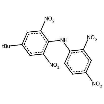 CC(C)(C)c1cc([N+](=O)[O-])c(Nc2ccc([N+](=O)[O-])cc2[N+](=O)[O-])c([N+](=O)[O-])c1